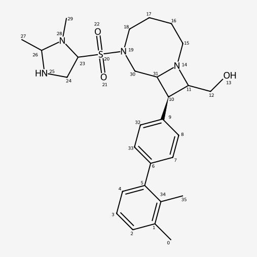 Cc1cccc(-c2ccc([C@@H]3C(CO)N4CCCCN(S(=O)(=O)C5CNC(C)N5C)CC34)cc2)c1C